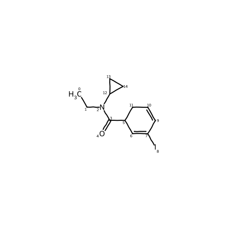 CCN(C(=O)C1C=C(I)C=CC1)C1CC1